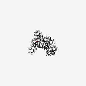 c1ccc2cc3c(cc2c1)c1ccccc1n3-c1ccc(-c2nc(-c3cccc4oc5ccccc5c34)nc(-c3cccc4oc5ccccc5c34)n2)cc1-c1ccc2c(c1)oc1ccccc12